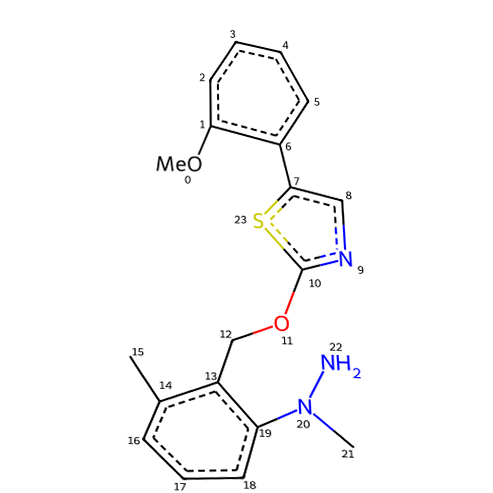 COc1ccccc1-c1cnc(OCc2c(C)cccc2N(C)N)s1